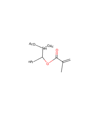 C=C(C)C(=O)OC(CCC)[SiH](OC(C)=O)OC(C)=O